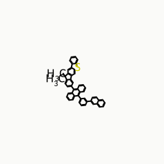 CC1(C)c2ccc(-c3c4ccccc4c(-c4cccc(-c5ccc6ccccc6c5)c4)c4ccccc34)cc2-c2cc3sc4ccccc4c3cc21